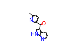 Cc1ccc(C(=O)c2c[nH]c3ncccc23)cn1